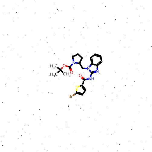 CC(C)(C)OC(=O)N1CCCC1Cn1c(NC(=O)c2ccc(Br)s2)nc2ccccc21